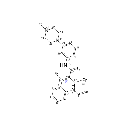 C=CNc1ccccc1/C(C)=C(\CC(C)C)C(=C)Nc1cccc(N2CCN(C)CC2)c1